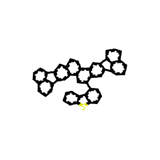 c1cc2c3c(cccc3c1)-c1cc3c(ccc4c5cc6c(cc5c(-c5cccc7sc8ccccc8c57)cc34)-c3cccc4cccc-6c34)cc1-2